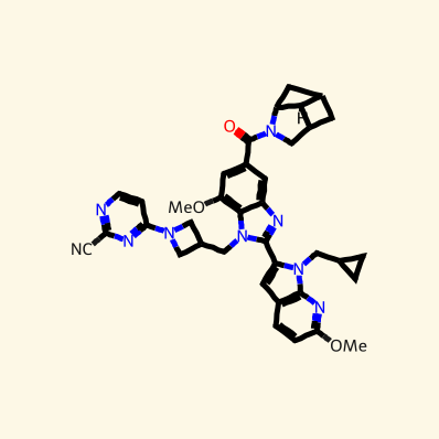 COc1ccc2cc(-c3nc4cc(C(=O)N5CC6CC7CC5[C@H]76)cc(OC)c4n3CC3CN(c4ccnc(C#N)n4)C3)n(CC3CC3)c2n1